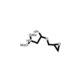 CCCC(C[SiH](OC)OC)OCC1CO1